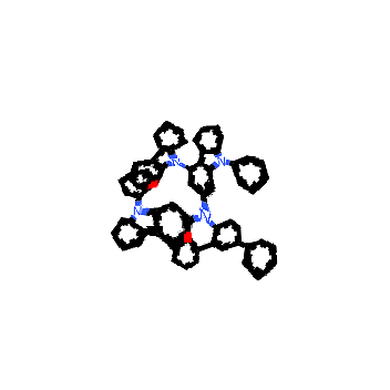 c1ccc(-c2ccc(N(c3ccc4c5ccccc5n(-c5ccccc5)c4c3)c3cc(-n4c5ccccc5c5ccccc54)c4c5ccccc5n(-c5ccccc5)c4c3)c(-c3ccccc3)c2)cc1